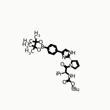 CC(C)[C@H](NC(=O)OC(C)(C)C)C(=O)N1CC=C[C@H]1c1nc(-c2ccc(B3OC(C)(C)C(C)(C)O3)cc2)c[nH]1